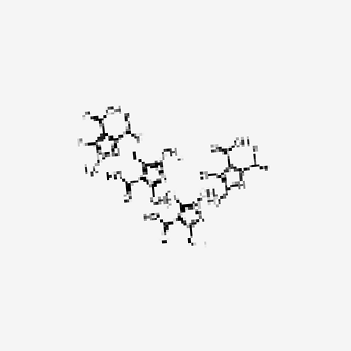 Cc1nn(C)c(Cl)c1C(=O)O.Cc1nn(C)c(F)c1C(=O)O.Cn1nc(C(F)F)c(C(=O)O)c1Cl.Cn1nc(C(F)F)c(C(=O)O)c1F